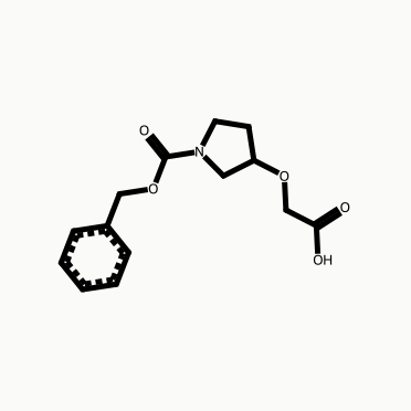 O=C(O)COC1CCN(C(=O)OCc2ccccc2)C1